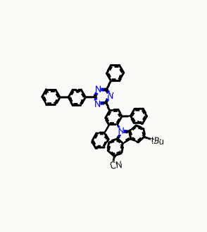 CC(C)(C)c1ccc2c(c1)c1cc(C#N)ccc1n2-c1c(-c2ccccc2)cc(-c2nc(-c3ccccc3)nc(-c3ccc(-c4ccccc4)cc3)n2)cc1-c1ccccc1